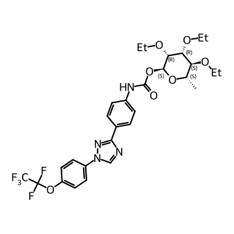 CCO[C@@H]1[C@@H](OCC)[C@H](C)O[C@@H](OC(=O)Nc2ccc(-c3ncn(-c4ccc(OC(F)(F)C(F)(F)F)cc4)n3)cc2)[C@@H]1OCC